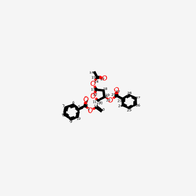 C=C(OC(=O)c1ccccc1)[C@@H]1OC(OC(C)=O)C[C@H]1OC(=O)c1ccccc1